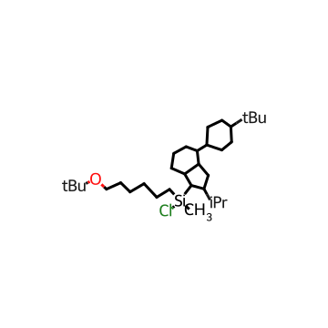 CC(C)C1CC2C(C3CCC(C(C)(C)C)CC3)CCCC2C1[Si](C)(Cl)CCCCCCOC(C)(C)C